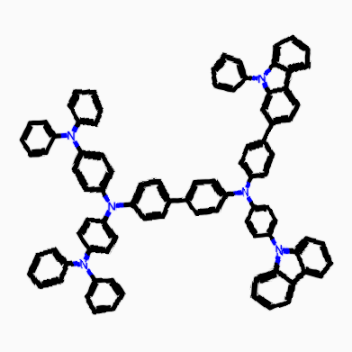 c1ccc(N(c2ccccc2)c2ccc(N(c3ccc(-c4ccc(N(c5ccc(-c6ccc7c8ccccc8n(-c8ccccc8)c7c6)cc5)c5ccc(-n6c7ccccc7c7ccccc76)cc5)cc4)cc3)c3ccc(N(c4ccccc4)c4ccccc4)cc3)cc2)cc1